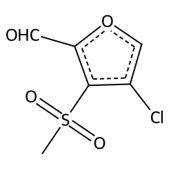 CS(=O)(=O)c1c(Cl)coc1C=O